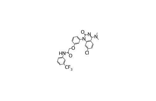 CN(C)c1nc(=O)n(-c2cccc(OCC(=O)Nc3cccc(C(F)(F)F)c3)c2)c2cc(Cl)ccc12